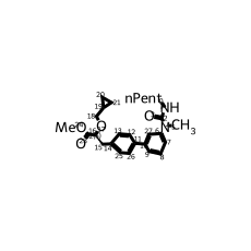 CCCCCNC(=O)N(C)c1cccc(-c2ccc(C[C@H](OCC3CC3)C(=O)OC)cc2)c1